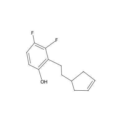 Oc1ccc(F)c(F)c1CCC1CC=CC1